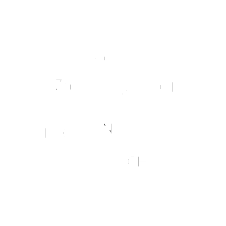 CN(C)C(=O)O.[Zn]